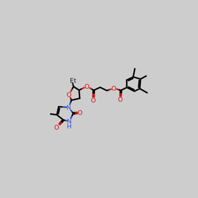 CCC1OC(n2cc(C)c(=O)[nH]c2=O)CC1OC(=O)CCOC(=O)c1cc(C)c(C)c(C)c1